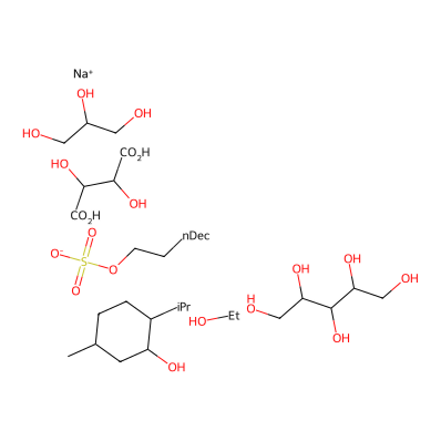 CC1CCC(C(C)C)C(O)C1.CCCCCCCCCCCCOS(=O)(=O)[O-].CCO.O=C(O)C(O)C(O)C(=O)O.OCC(O)C(O)C(O)CO.OCC(O)CO.[Na+]